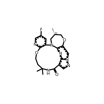 C[C@@H]1COc2cn3ncc4c3nc2N(C1)c1cc(F)cnc1OCCC(C)(C)NC4=O